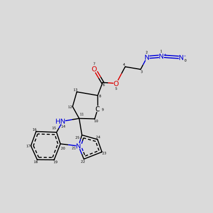 [N-]=[N+]=NCCOC(=O)C1CCC2(CC1)Nc1ccccc1-n1cccc12